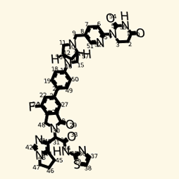 O=C1CCN(c2ccc(CN3C[C@@H]4C[C@H]3CN4c3ccc(-c4cc(F)c5c(c4)C(=O)N(C(C(=O)Nc4nccs4)c4ncn6c4CCC6)C5)cc3)cn2)C(=O)N1